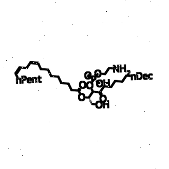 CCCCC/C=C\C/C=C\CCCCCCCC(=O)O[C@@H](CO)C(OP(=O)(O)OCCN)C(=O)CCCCCCCCCCCCCCC